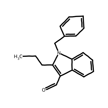 CCCc1c(C=O)c2ccccc2n1Cc1ccccc1